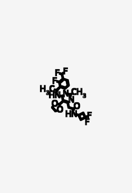 Cc1nc(CC(=O)NC2CC(F)(F)C2)c(C2OCCO2)c(N[C@H](C)c2cccc(C(F)F)c2F)n1